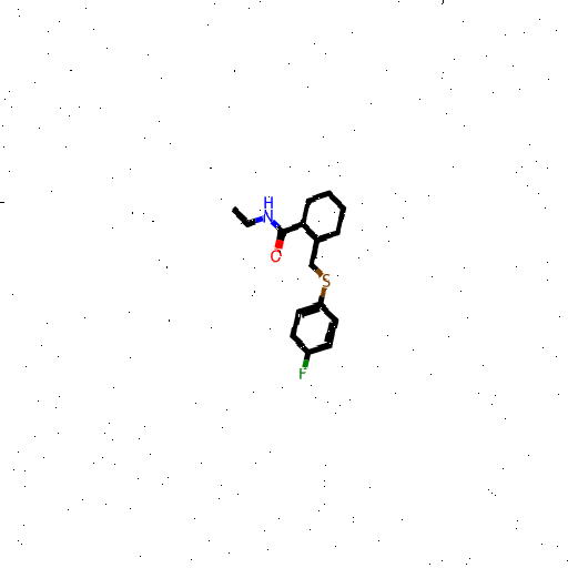 CCNC(=O)C1CCCCC1CSC1=CCC(F)C=C1